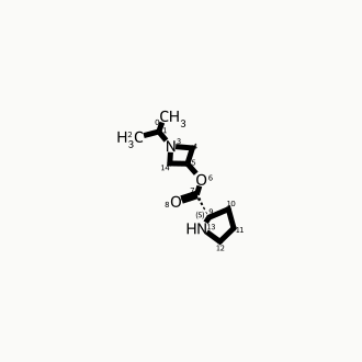 CC(C)N1CC(OC(=O)[C@@H]2CCCN2)C1